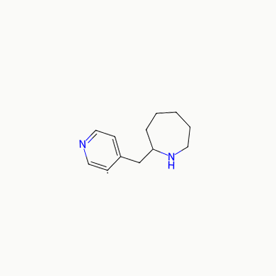 [c]1cnccc1CC1CCCCCN1